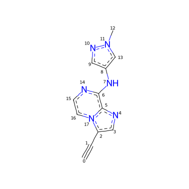 C#Cc1cnc2c(Nc3cnn(C)c3)nccn12